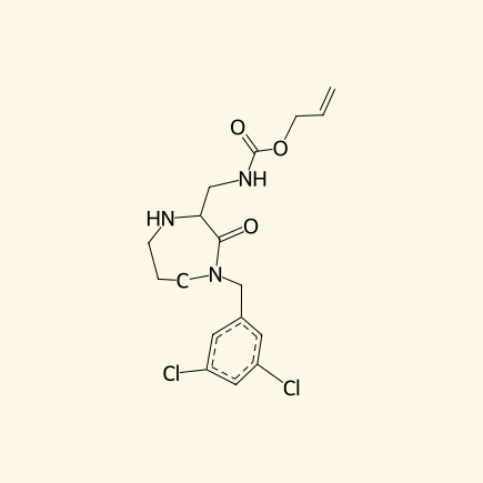 C=CCOC(=O)NCC1NCCCN(Cc2cc(Cl)cc(Cl)c2)C1=O